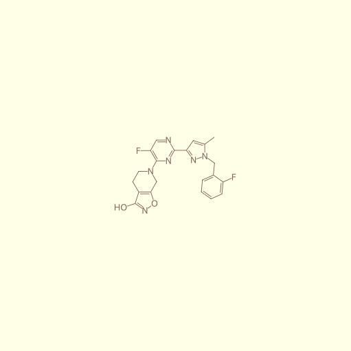 Cc1cc(-c2ncc(F)c(N3CCc4c(O)noc4C3)n2)nn1Cc1ccccc1F